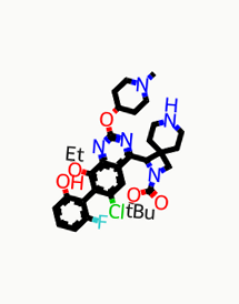 CCOc1c(-c2c(O)cccc2F)c(Cl)cc2c(C3N(C(=O)OC(C)(C)C)CC34CCNCC4)nc(OC3CCN(C)CC3)nc12